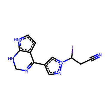 N#CCC(I)n1cc(C2=NCNc3[nH]ccc32)cn1